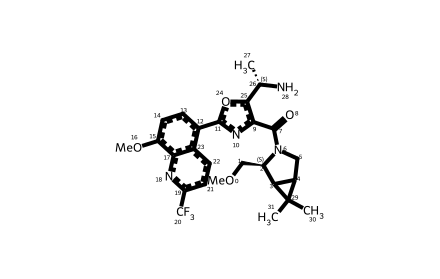 COC[C@@H]1C2C(CN1C(=O)c1nc(-c3ccc(OC)c4nc(C(F)(F)F)ccc34)oc1[C@H](C)N)C2(C)C